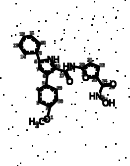 COc1ccc(-c2cc(-c3ccccc3)[nH]c2C(=O)Nc2ccc(C(=O)NO)o2)cc1